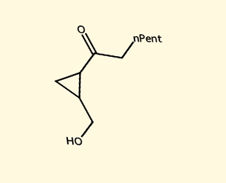 CCCCCCC(=O)C1CC1CO